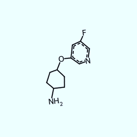 NC1CCC(Oc2cncc(F)c2)CC1